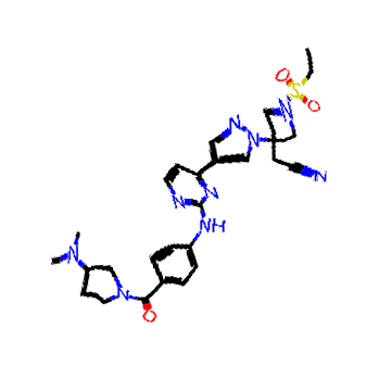 CCS(=O)(=O)N1CC(CC#N)(n2cc(-c3ccnc(Nc4ccc(C(=O)N5CCC(N(C)C)C5)cc4)n3)cn2)C1